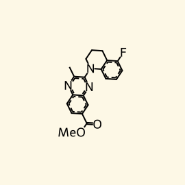 COC(=O)c1ccc2nc(C)c(N3CCCc4c(F)cccc43)nc2c1